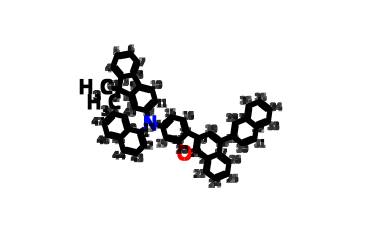 CC1(C)c2ccccc2-c2ccc(N(c3ccc4c(c3)oc3c5ccccc5c(-c5ccc6ccccc6c5)cc43)c3cccc4ccccc34)cc21